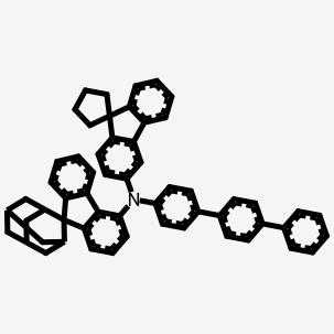 c1ccc(-c2ccc(-c3ccc(N(c4ccc5c(c4)-c4ccccc4C54CCCC4)c4cccc5c4-c4ccccc4C54C5CC6CC(C5)CC4C6)cc3)cc2)cc1